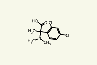 CN(C)C(C)(C(=O)O)c1ccc(Cl)cc1Cl